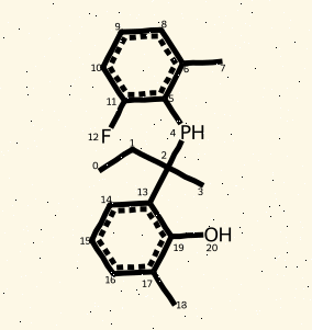 CCC(C)(Pc1c(C)cccc1F)c1cccc(C)c1O